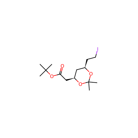 CC(C)(C)OC(=O)C[C@H]1C[C@@H](CCI)OC(C)(C)O1